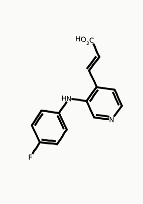 O=C(O)/C=C/c1ccncc1Nc1ccc(F)cc1